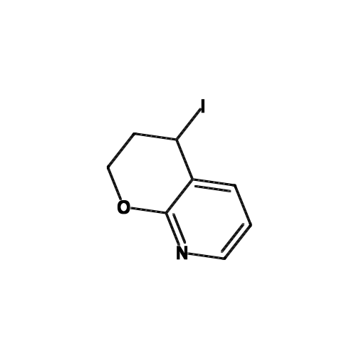 IC1CCOc2ncccc21